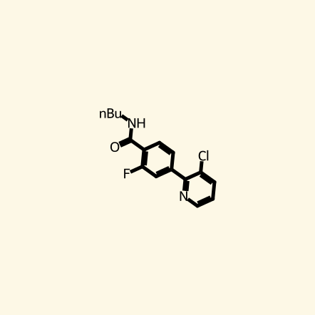 CCCCNC(=O)c1ccc(-c2ncccc2Cl)cc1F